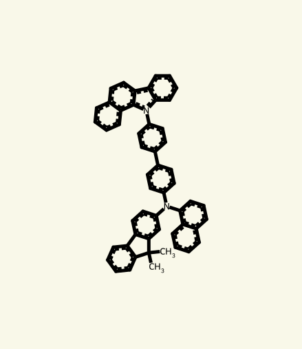 CC1(C)c2ccccc2-c2ccc(N(c3ccc(-c4ccc(-n5c6ccccc6c6ccc7ccccc7c65)cc4)cc3)c3cccc4ccccc34)cc21